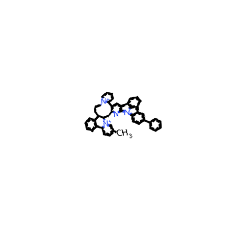 Cc1ccc2[n+](c1)C1Cc3nc4c(cc3-c3cccc[n+]3/C=C/CC1c1ccccc1-2)c1cccc2c3cc(-c5ccccc5)ccc3n4c21